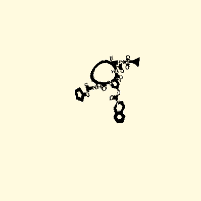 O=C(N[C@H]1CCCCCCC[C@H]2C[C@@]2(C(=O)NS(=O)(=O)C2CC2)NC(=O)[C@@H]2C[C@@H](OC(=O)N3CCc4ccccc4C3)CN2C1=O)OC1CCCC1